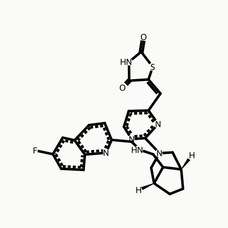 O=C1NC(=O)/C(=C\c2ccnc(N3C[C@H]4CC[C@@H](C3)C4CNCc3ccc4cc(F)ccc4n3)n2)S1